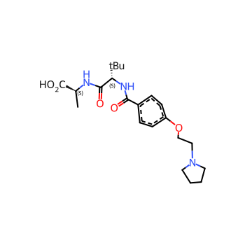 C[C@H](NC(=O)[C@@H](NC(=O)c1ccc(OCCN2CCCC2)cc1)C(C)(C)C)C(=O)O